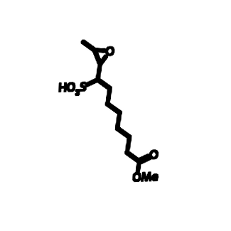 COC(=O)CCCCCCC(C1OC1C)S(=O)(=O)O